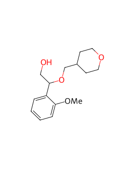 COc1ccccc1C(CO)OCC1CCOCC1